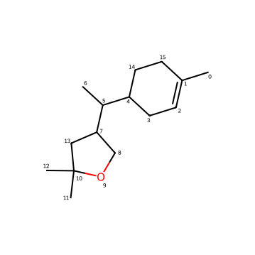 CC1=CCC(C(C)C2COC(C)(C)C2)CC1